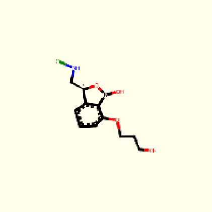 OCCCOc1cccc2c1B(O)O[C@@H]2CNCl